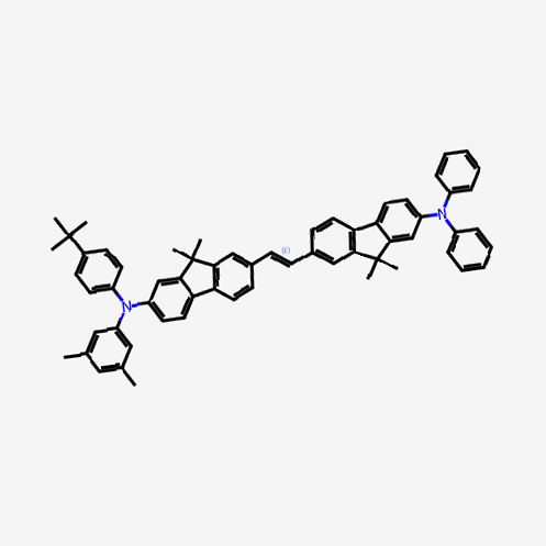 Cc1cc(C)cc(N(c2ccc(C(C)(C)C)cc2)c2ccc3c(c2)C(C)(C)c2cc(/C=C/c4ccc5c(c4)C(C)(C)c4cc(N(c6ccccc6)c6ccccc6)ccc4-5)ccc2-3)c1